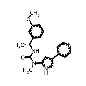 COc1cccc([C@@H](C)NC(=O)N(C)c2cc(-c3ccncc3)n[nH]2)c1